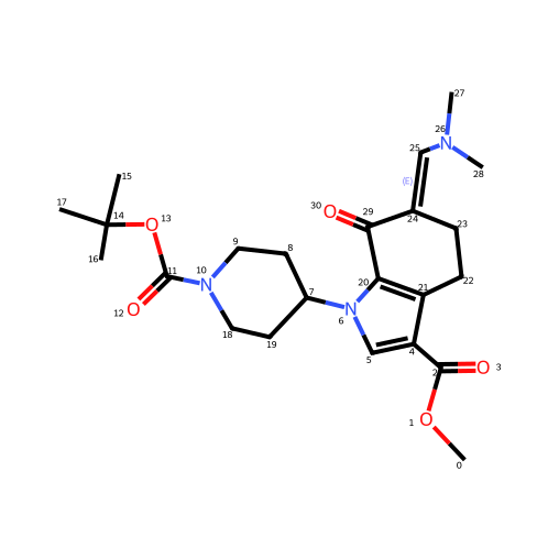 COC(=O)c1cn(C2CCN(C(=O)OC(C)(C)C)CC2)c2c1CC/C(=C\N(C)C)C2=O